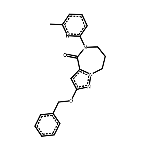 Cc1cccc(N2CCCn3nc(OCc4ccccc4)cc3C2=O)n1